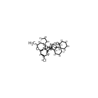 C[C@H](Oc1cc(Cl)nc(C2=NOC3(C)C2CCC[C@@]32CCCCC2=O)n1)[C@@H]1CCCN1C